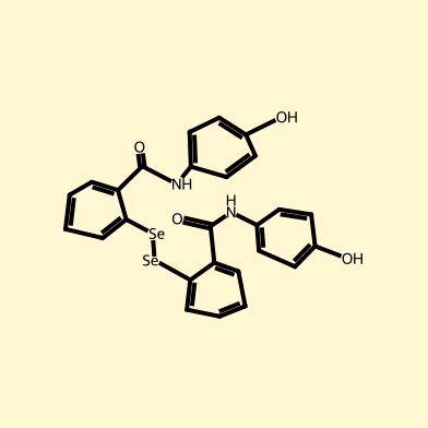 O=C(Nc1ccc(O)cc1)c1ccccc1[Se][Se]c1ccccc1C(=O)Nc1ccc(O)cc1